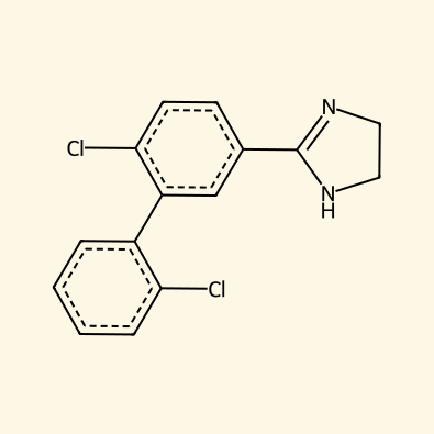 Clc1ccccc1-c1cc(C2=NCCN2)ccc1Cl